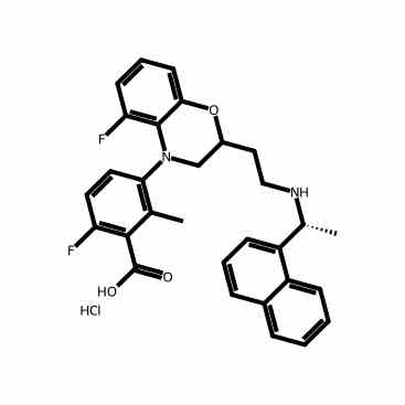 Cc1c(N2CC(CCN[C@H](C)c3cccc4ccccc34)Oc3cccc(F)c32)ccc(F)c1C(=O)O.Cl